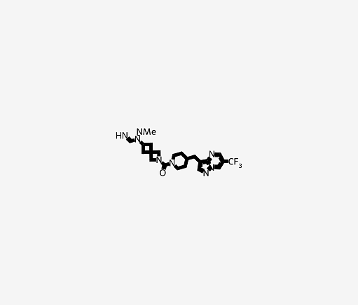 CNN(C=N)C1CC2(C1)CN(C(=O)N1CCC(Cc3cnn4cc(C(F)(F)F)cnc34)CC1)C2